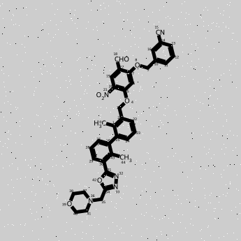 Cc1c(COc2cc(OCc3cccc(C#N)c3)c(C=O)cc2[N+](=O)[O-])cccc1-c1cccc(-c2nnc(CN3CCOCC3)o2)c1C